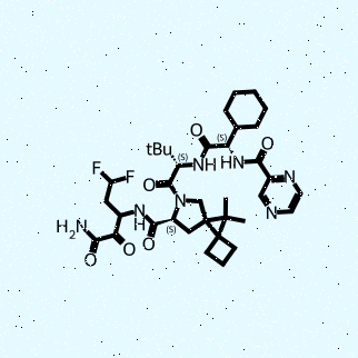 CC(C)(C)[C@H](NC(=O)[C@@H](NC(=O)c1cnccn1)C1CCCCC1)C(=O)N1CC2(C[C@H]1C(=O)NC(CC(F)F)C(=O)C(N)=O)C(C)(C)C21CCC1